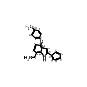 NCc1ccc(Oc2ccc(C(F)(F)F)cc2)c2cc(-c3ccccc3)[nH]c12